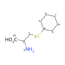 NC(CSC1CCCCC1)C(=O)O